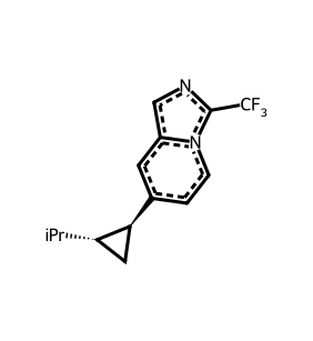 CC(C)[C@H]1C[C@@H]1c1ccn2c(C(F)(F)F)ncc2c1